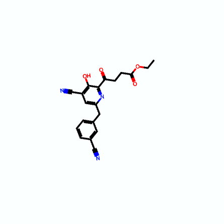 CCOC(=O)CCC(=O)c1nc(Cc2cccc(C#N)c2)cc(C#N)c1O